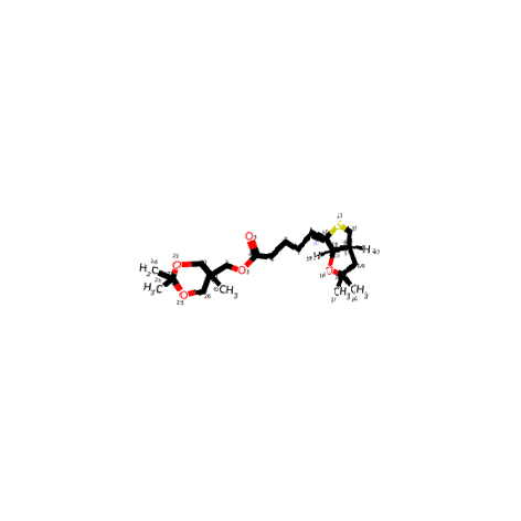 CC1(COC(=O)CCC/C=C2/SC[C@@H]3CC(C)(C)O[C@H]23)COC(C)(C)OC1